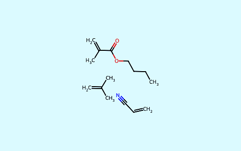 C=C(C)C.C=C(C)C(=O)OCCCC.C=CC#N